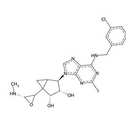 CN[C@H]1OC1C12CC1[C@@H](n1cnc3c(NCc4cccc(Cl)c4)nc(I)nc31)[C@H](O)[C@@H]2O